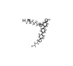 CCCCCOc1ccc(-c2ccc(-c3ccc(OC)cc3OCCCCCCN)cc2)cc1